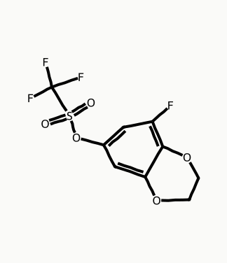 O=S(=O)(Oc1cc(F)c2c(c1)OCCO2)C(F)(F)F